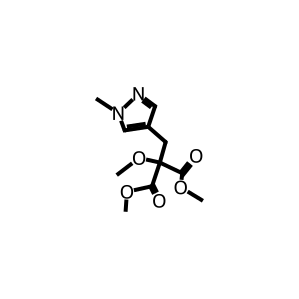 COC(=O)C(Cc1cnn(C)c1)(OC)C(=O)OC